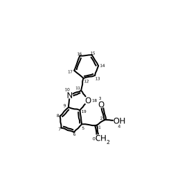 C=C(C(=O)O)c1cccc2nc(-c3ccccc3)oc12